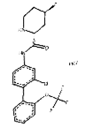 Cl.O=C(Nc1ccc(-c2ccccc2OC(F)(F)F)c(Cl)c1)[C@H]1C[C@H](F)CCN1